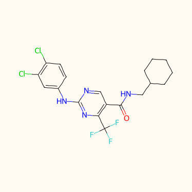 O=C(NCC1CCCCC1)c1cnc(Nc2ccc(Cl)c(Cl)c2)nc1C(F)(F)F